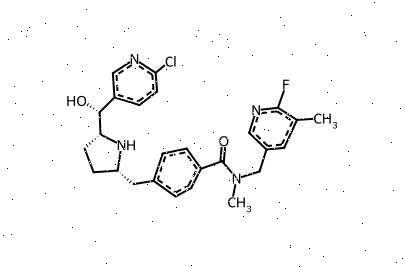 Cc1cc(CN(C)C(=O)c2ccc(C[C@@H]3CC[C@H]([C@H](O)c4ccc(Cl)nc4)N3)cc2)cnc1F